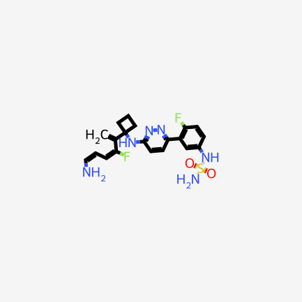 C=C(/C(F)=C\C=C/N)C1(Nc2ccc(-c3cc(NS(N)(=O)=O)ccc3F)nn2)CCC1